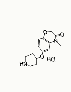 CN1C(=O)COc2ccc(OC3CCNCC3)cc21.Cl